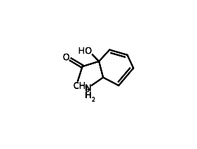 CC(=O)C1(O)C=CC=CC1N